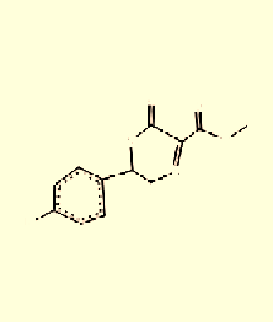 COC(=O)C1=NCC(c2ccc(Br)cc2)NC1=O